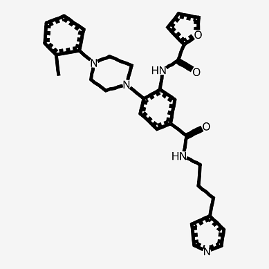 Cc1ccccc1N1CCN(c2ccc(C(=O)NCCCc3ccncc3)cc2NC(=O)c2ccco2)CC1